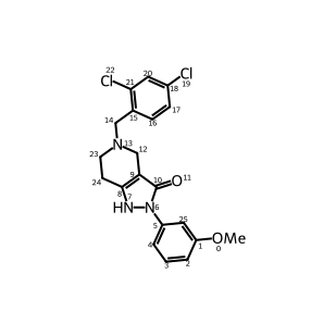 COc1cccc(-n2[nH]c3c(c2=O)CN(Cc2ccc(Cl)cc2Cl)CC3)c1